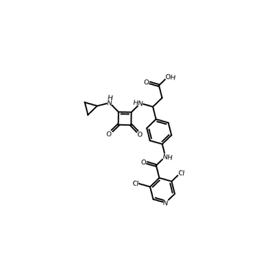 O=C(O)CC(Nc1c(NC2CC2)c(=O)c1=O)c1ccc(NC(=O)c2c(Cl)cncc2Cl)cc1